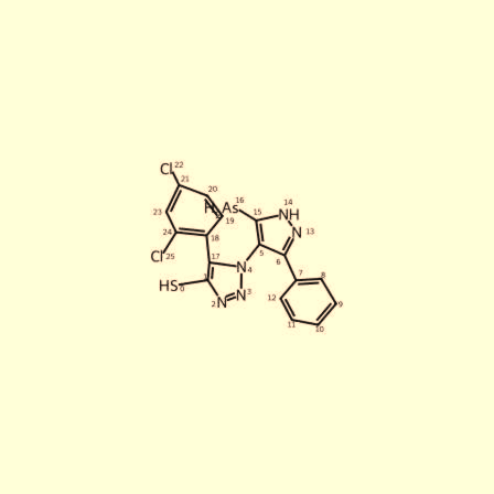 Sc1nnn(-c2c(-c3ccccc3)n[nH]c2[AsH2])c1-c1ccc(Cl)cc1Cl